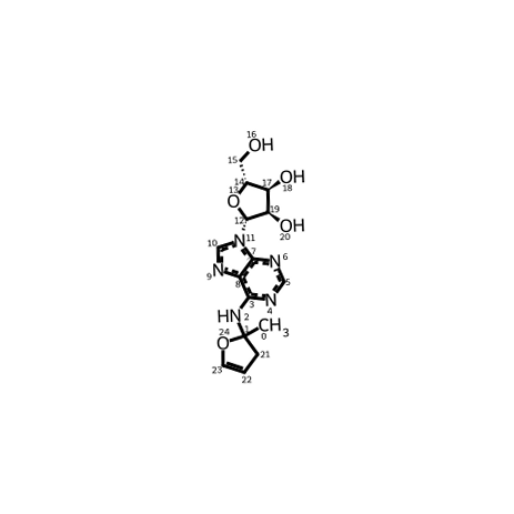 CC1(Nc2ncnc3c2ncn3[C@@H]2O[C@H](CO)[C@@H](O)[C@H]2O)CC=CO1